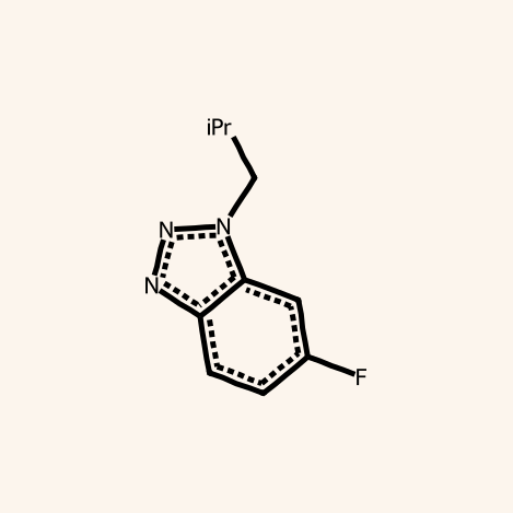 CC(C)Cn1nnc2ccc(F)cc21